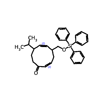 CC(C)C1/C=C\C(CO[Si](c2ccccc2)(c2ccccc2)c2ccccc2)C/C=C\C(=O)CC1